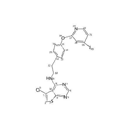 Clc1csc2ncnc(NCCc3ccc(Oc4cc(I)ccn4)cc3)c12